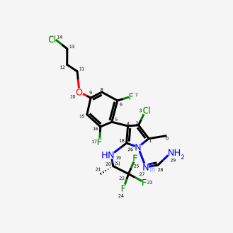 Cc1c(Cl)c(-c2c(F)cc(OCCCCl)cc2F)c(N[C@@H](C)C(F)(F)F)n1/N=C\N